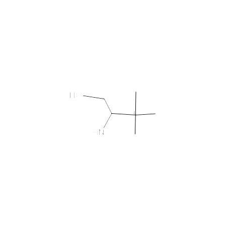 CC(C)(C)C([NH])CO